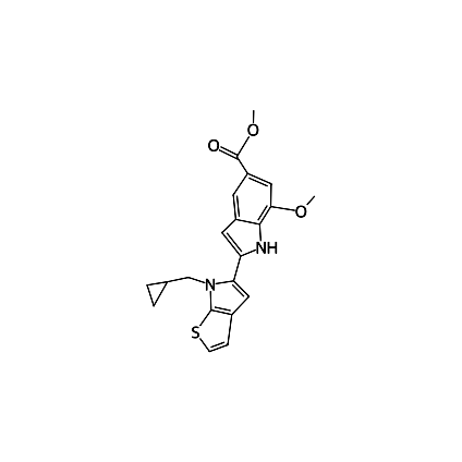 COC(=O)c1cc(OC)c2[nH]c(-c3cc4ccsc4n3CC3CC3)cc2c1